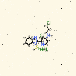 CSn1c(-c2nccc(N(C)CCCCl)c2Cl)nc2ccccc21.Cl.Cl